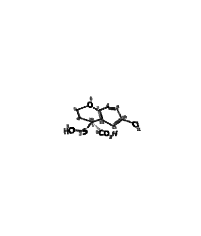 O=C(O)[C@]1(SO)CCOc2ccc(Cl)cc21